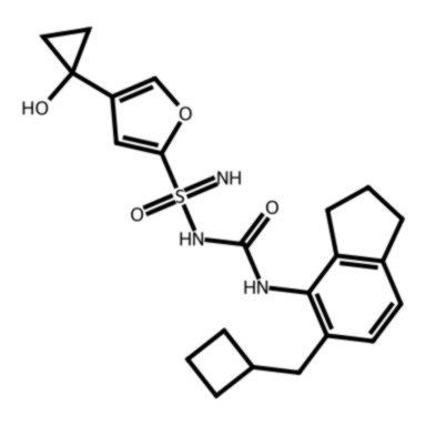 N=S(=O)(NC(=O)Nc1c(CC2CCC2)ccc2c1CCC2)c1cc(C2(O)CC2)co1